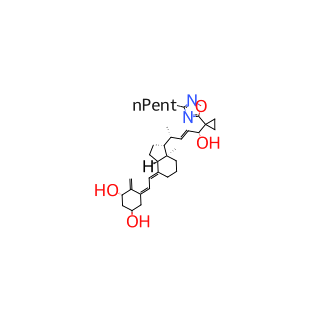 C=C1/C(=C\C=C2/CCC[C@]3(C)[C@@H]([C@H](C)/C=C/[C@@H](O)C4(c5nc(CCCCC)no5)CC4)CC[C@@H]23)C[C@@H](O)C[C@@H]1O